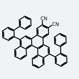 N#Cc1cc2c(cc1C#N)c1cc(-c3ccccc3-c3ccccc3)c3ccccc3c1c1c3ccccc3c(-c3ccccc3-c3ccccc3)cc21